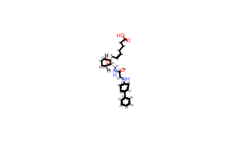 O=C(O)CCC/C=C\C[C@@H]1[C@H](CNC(=O)CNc2ccc(-c3ccccc3)cc2)[C@@H]2CC[C@H]1O2